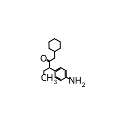 CCC(C(=O)CC1CCCCC1)c1ccc(N)cc1